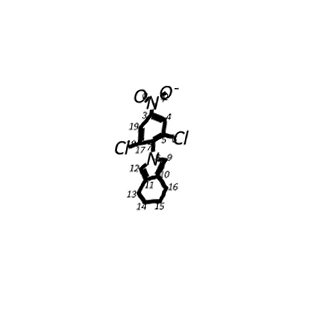 O=[N+]([O-])c1cc(Cl)c(-n2cc3c(c2)CCCC3)c(Cl)c1